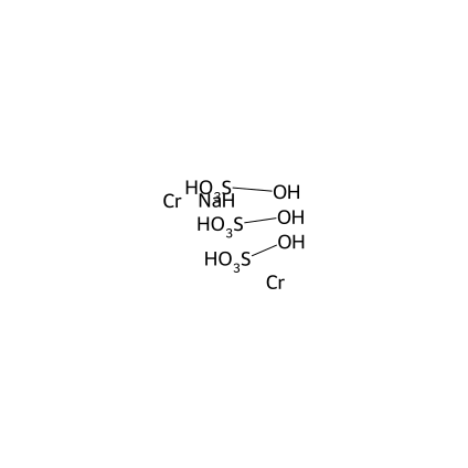 O=S(=O)(O)O.O=S(=O)(O)O.O=S(=O)(O)O.[Cr].[Cr].[NaH]